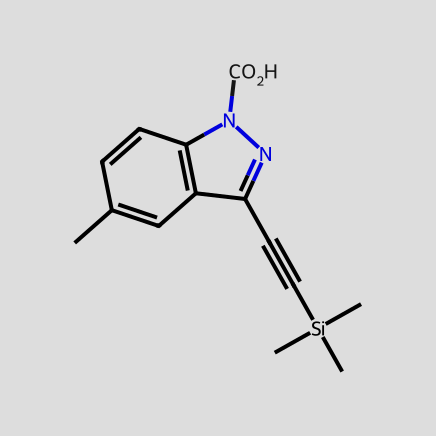 Cc1ccc2c(c1)c(C#C[Si](C)(C)C)nn2C(=O)O